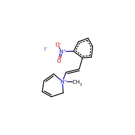 C[N+]1(/C=C/c2ccccc2[N+](=O)[O-])C=CC=CC1.[I-]